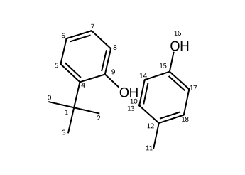 CC(C)(C)c1ccccc1O.Cc1ccc(O)cc1